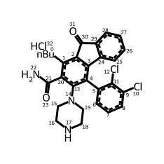 CCCCc1c2c(c(-c3cccc(Cl)c3Cl)c(N3CCNCC3)c1C(N)=O)-c1ccccc1C2=O.Cl